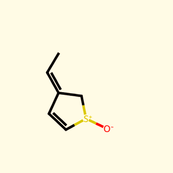 CC=C1C=C[S+]([O-])C1